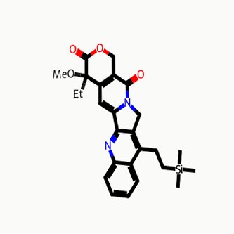 CCC1(OC)C(=O)OCc2c1cc1n(c2=O)Cc2c-1nc1ccccc1c2CC[Si](C)(C)C